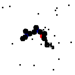 CCCCc1ccc2oc3c(-c4ccc(-n5c6ccccc6c6cc(-c7ccc8c(c7)c7ccccc7n8-c7ccc8ccccc8c7)ccc65)cc4)cccc3c2c1